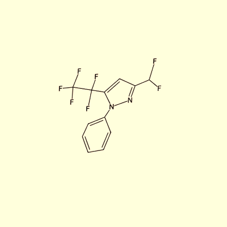 FC(F)c1cc(C(F)(F)C(F)(F)F)n(-c2ccccc2)n1